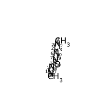 CN1CCC(N2CCN(C(=O)CN3CCN(C)CC3)CC2)CC1